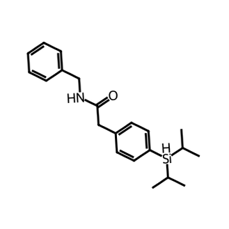 CC(C)[SiH](c1ccc(CC(=O)NCc2ccccc2)cc1)C(C)C